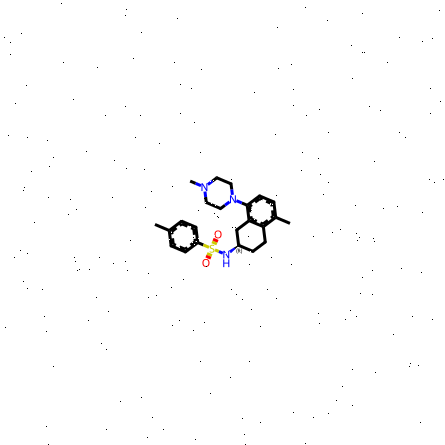 Cc1ccc(S(=O)(=O)N[C@@H]2CCc3c(C)ccc(N4CCN(C)CC4)c3C2)cc1